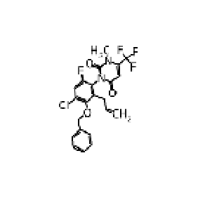 C=CCc1c(OCc2ccccc2)c(Cl)cc(F)c1-n1c(=O)cc(C(F)(F)F)n(C)c1=O